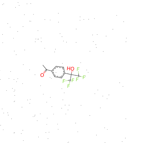 CC(=O)c1ccc(C(O)(C(F)(F)F)C(F)(F)F)cc1